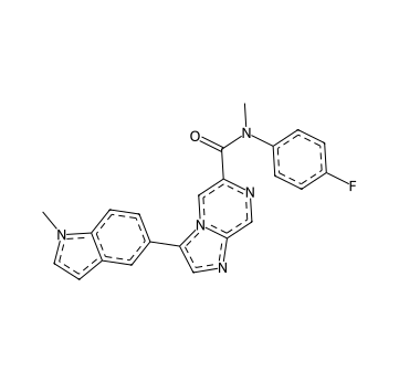 CN(C(=O)c1cn2c(-c3ccc4c(ccn4C)c3)cnc2cn1)c1ccc(F)cc1